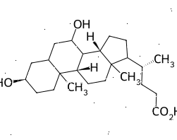 C[C@H](CCC(=O)O)C1CC[C@H]2C3C(O)CC4C[C@H](O)CCC4(C)[C@H]3CCC12C